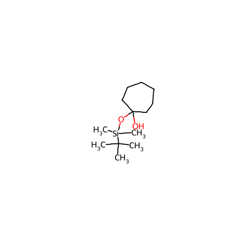 CC(C)(C)[Si](C)(C)OC1(O)CCCCCC1